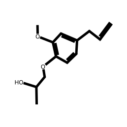 C=CCc1ccc(OCC(C)O)c(OC)c1